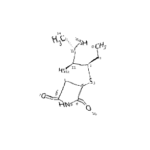 CC[C@@H](SC1CC(=O)NC1=O)[C@@H](S)[C@H](C)S